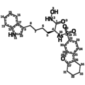 O=C(NO)[C@H](CCCCc1c[nH]c2ccccc12)[AsH]S(=O)(=O)c1ccc2c3c(oc2c1)CCCC3